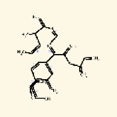 C=CC(=C)SC(=C)C(=N\C=N/C(=C)C(C)/C=C\C)/C(/C=C\C(=C)/C=C\C)=C/C(=C)/C=C\C